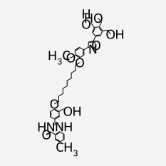 COc1ccc(-c2cc(-c3cc(CO)c(CO)c(CO)c3)on2)cc1OCCCCCCCCCCOc1ccc(C2NC(=O)c3cc(C)ccc3N2)cc1CO